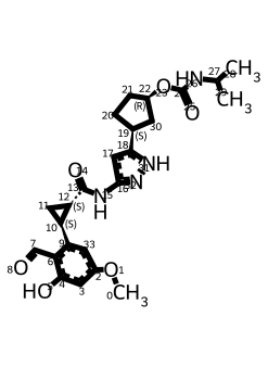 COc1cc(O)c(C=O)c([C@H]2C[C@@H]2C(=O)Nc2cc([C@H]3CC[C@@H](OC(=O)NC(C)C)C3)[nH]n2)c1